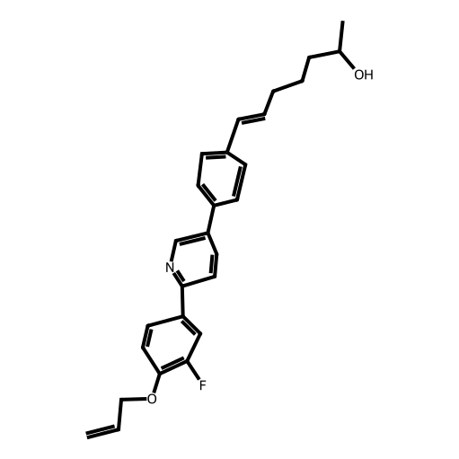 C=CCOc1ccc(-c2ccc(-c3ccc(C=CCCCC(C)O)cc3)cn2)cc1F